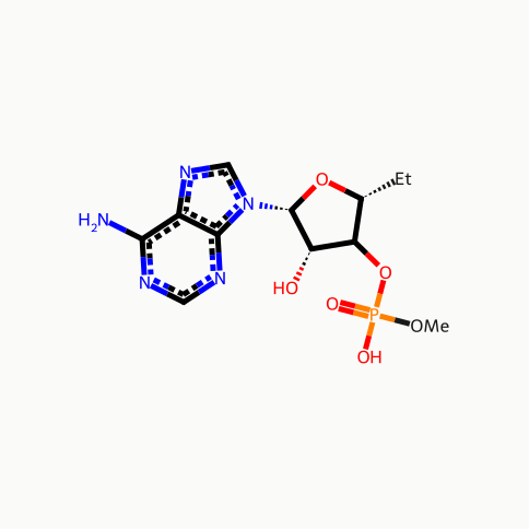 CC[C@H]1O[C@@H](n2cnc3c(N)ncnc32)[C@@H](O)C1OP(=O)(O)OC